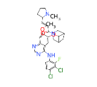 COc1cc2ncnc(Nc3ccc(Cl)c(Cl)c3F)c2cc1OC1C2CC1CN(C(=O)/C=C/C1CCCN1C)C2